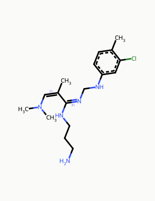 CC(=C/N(C)C)/C(=N\CNc1ccc(C)c(Cl)c1)NCCCN